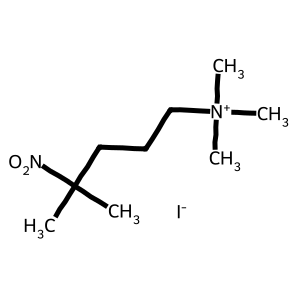 CC(C)(CCC[N+](C)(C)C)[N+](=O)[O-].[I-]